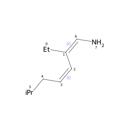 CCC(/C=C\CC(C)C)=C/N